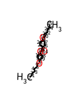 CCCCCCCOc1ccc(OC(=O)c2ccc(OCCCCCC)cc2)cc1